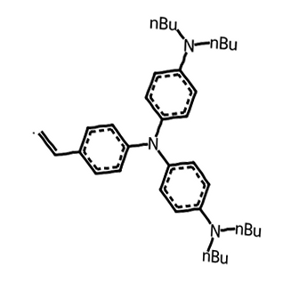 [CH]=Cc1ccc(N(c2ccc(N(CCCC)CCCC)cc2)c2ccc(N(CCCC)CCCC)cc2)cc1